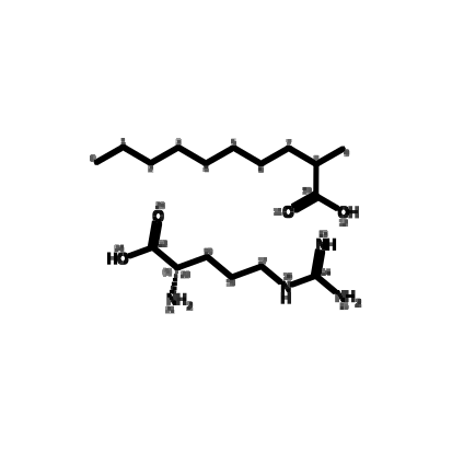 CCCCCCCCC(C)C(=O)O.N=C(N)NCCC[C@H](N)C(=O)O